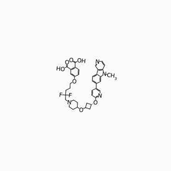 Cn1c2ccncc2c2ccc(-c3ccc(O[C@H]4C[C@H](OC5CCN(CC(F)(F)CCCOc6ccc(C(=O)O)c(C(=O)O)c6)CC5)C4)nc3)cc21